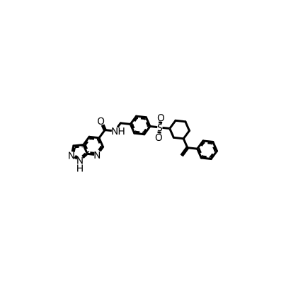 C=C(c1ccccc1)C1CCCC(S(=O)(=O)c2ccc(CNC(=O)c3cnc4[nH]ncc4c3)cc2)C1